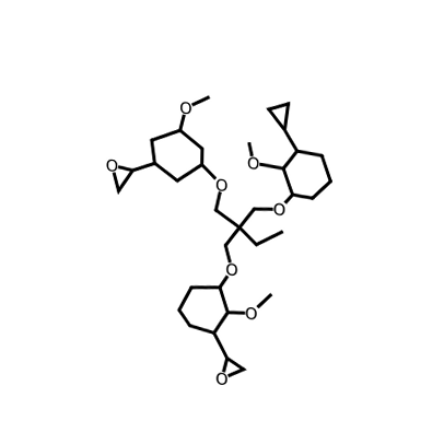 CCC(COC1CC(OC)CC(C2CO2)C1)(COC1CCCC(C2CC2)C1OC)COC1CCCC(C2CO2)C1OC